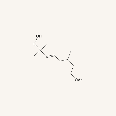 CC(=O)OCCC(C)CC=CC(C)(C)OO